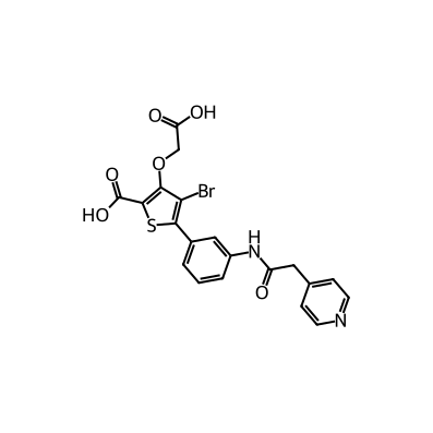 O=C(O)COc1c(C(=O)O)sc(-c2cccc(NC(=O)Cc3ccncc3)c2)c1Br